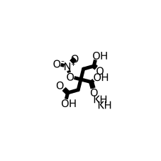 O=C(O)CC(CC(=O)O)(O[N+](=O)[O-])C(=O)O.[KH].[KH]